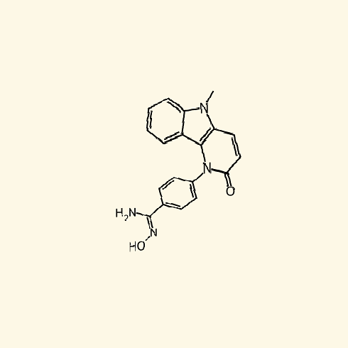 Cn1c2ccccc2c2c1ccc(=O)n2-c1ccc(/C(N)=N/O)cc1